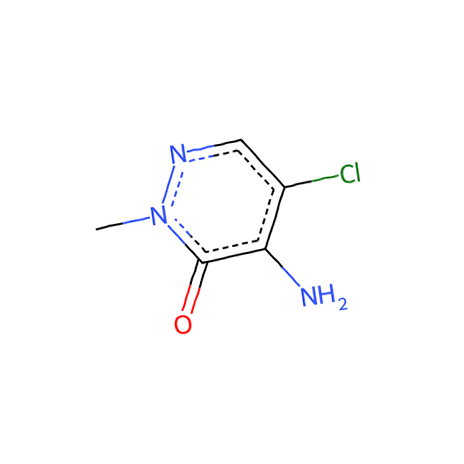 Cn1ncc(Cl)c(N)c1=O